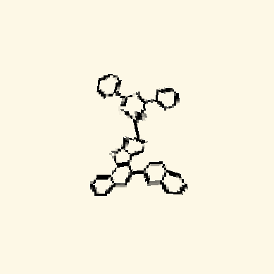 c1ccc(-c2nc(-c3ccccc3)nc(-c3ccc4c(c3)oc3c5ccccc5cc(-c5ccc6ccccc6c5)c43)n2)cc1